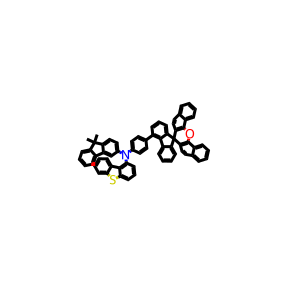 CC1(C)c2ccccc2-c2cc(N(c3ccc(-c4cccc5c4-c4ccccc4C54c5ccc6ccccc6c5Oc5c4ccc4ccccc54)cc3)c3cccc4sc5ccccc5c34)ccc21